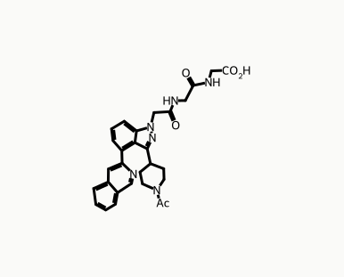 CC(=O)N1CCC(c2nn(CC(=O)NCC(=O)NCC(=O)O)c3cccc(-c4cc5ccccc5cn4)c23)CC1